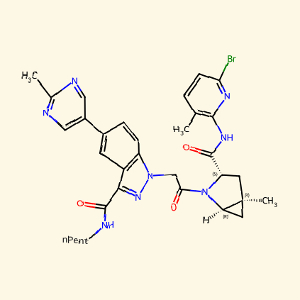 CCCCCNC(=O)c1nn(CC(=O)N2[C@H](C(=O)Nc3nc(Br)ccc3C)C[C@@]3(C)C[C@@H]23)c2ccc(-c3cnc(C)nc3)cc12